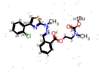 CN(CCOC(=O)c1ccccc1/C=N/N(C)c1nc(-c2ccccc2Cl)cs1)C(=O)OC(C)(C)C